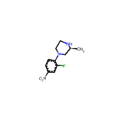 C[C@H]1CN(c2ccc([N+](=O)[O-])cc2F)CCN1